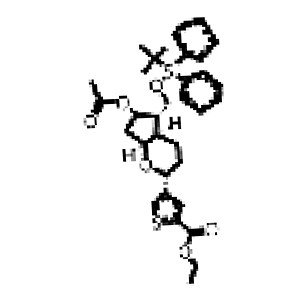 CCOC(=O)c1cc([C@H]2CC[C@@H]3[C@@H](CO[Si](c4ccccc4)(c4ccccc4)C(C)(C)C)[C@H](OC(C)=O)C[C@@H]3O2)cs1